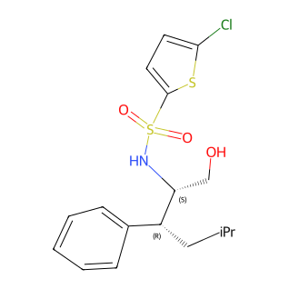 CC(C)C[C@H](c1ccccc1)[C@@H](CO)NS(=O)(=O)c1ccc(Cl)s1